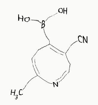 Cc1cc(B(O)O)c(C#N)cn1